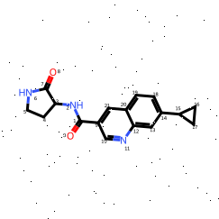 O=C(NC1CCNC1=O)c1cnc2cc(C3CC3)ccc2c1